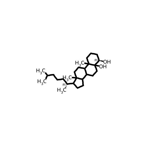 CC(C)CCC[C@@H](C)C1CCC2C3CCC4(O)[C@H](O)CCCC4(C)C3CCC21C